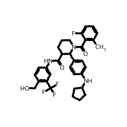 Cc1cccc(F)c1C(=O)N1CCCC(C(=O)Nc2ccc(CO)c(C(F)(F)F)c2)C1c1ccc(NC2CCCC2)cc1